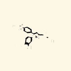 CCOC(=O)c1cc(-c2ccc(S(C)(=O)=O)cc2)n(-c2ccc(C)c(Cl)c2)n1